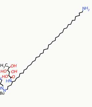 CCCCN(CCCC(CCCCCCCCCCCCCCCCCCCCCCCCCCCCCCCCCCCN)NC(=O)[C@H](O)[C@@H](O)[C@H](O)[C@@H](C)O)NCCCN